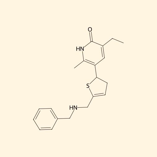 CCc1cc(C2CC=C(CNCc3ccccc3)S2)c(C)[nH]c1=O